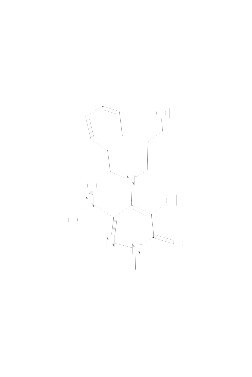 Cn1nc([N+](=O)[O-])c(N(CCCO)Cc2ccccc2)c(Cl)c1=O